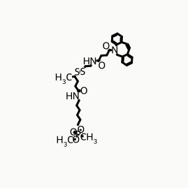 COP(C)(=O)OCCCCCCNC(=O)CCC(C)SSCCNC(=O)CCC(=O)N1Cc2ccccc2C#Cc2ccccc21